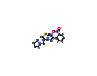 O=[N+]([O-])c1ccccc1-c1cn2c(CN3CCCC3)csc2n1